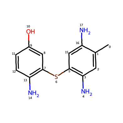 Cc1cc(N)c(Sc2cc(O)ccc2N)cc1N